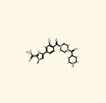 Cn1cc(-c2ccc(C(=O)N3CCN(C(=O)C4CCNCC4)CC3)c(Cl)c2)nc1C(N)=O